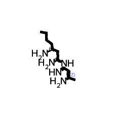 CCCC[C@H](N)C[C@H](N)NC(=N)/C=C(/C)N